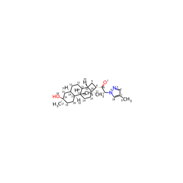 Cc1cnn(CC(=O)[C@H]2C[C@H]3[C@@H]4CC[C@@H]5C[C@](C)(O)CC[C@@H]5[C@@]4(C)CC[C@]23C)c1